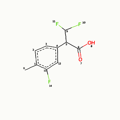 Cc1ccc(C(C(=O)O)C(F)F)cc1F